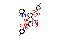 Cc1ccc(S(=O)(=O)Oc2ccc(Nc3ccccc3C)c3c2C(=O)c2c([N+](=O)[O-])ccc(OS(=O)(=O)c4ccc(C)cc4)c2C3=O)cc1